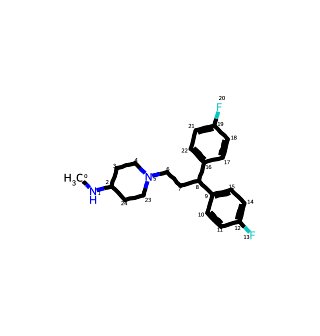 CNC1CCN(CCC(c2ccc(F)cc2)c2ccc(F)cc2)CC1